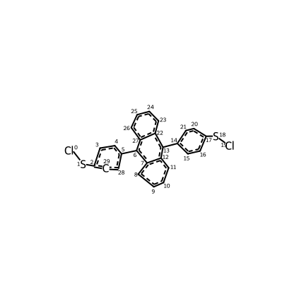 ClSc1ccc(-c2c3ccccc3c(-c3ccc(SCl)cc3)c3ccccc23)cc1